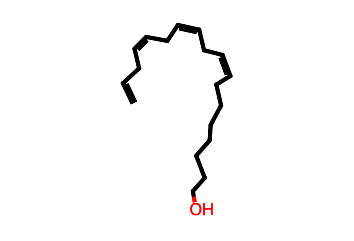 C=CC/C=C\C/C=C\C/C=C\CCCCCCCO